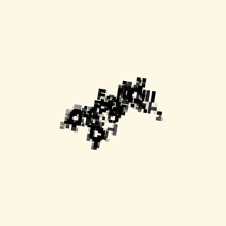 Cc1ccc(OP(=O)(OC[C@@]2(C(F)F)O[C@@H](n3cnc4c(=O)[nH]c(N)nc43)C(F)(F)[C@@H]2O)Oc2ccc(C)cc2)cc1